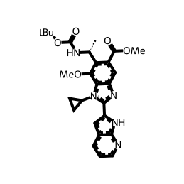 COC(=O)c1cc2nc(-c3cc4cccnc4[nH]3)n(C3CC3)c2c(OC)c1[C@@H](C)NC(=O)OC(C)(C)C